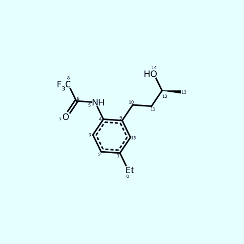 CCc1ccc(NC(=O)C(F)(F)F)c(CC[C@H](C)O)c1